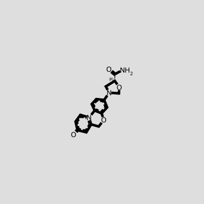 NC(=O)[C@H]1CN(c2ccc3c(c2)OCc2cc(=O)ccn2-3)CO1